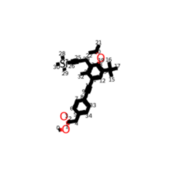 COC(=O)Cc1ccc(C#Cc2cc(C(C)(C)C)c(OC(C)C)c(CC#C[Si](C)(C)C)c2C)cc1